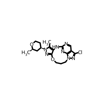 Cc1c2c(nn1[C@@H]1CCO[C@H](C)C1)OCCCn1nc(Cl)c3cnc(nc31)N2